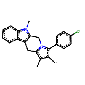 [CH2]c1c([CH2])c(-c2ccc(Cl)cc2)n2c1Cc1c(n(C)c3ccccc13)C2